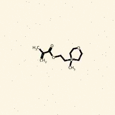 C=C(C)C(=O)OCC[N+]1(C)CCOCC1